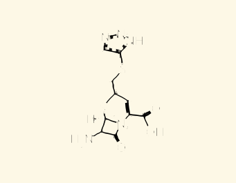 NC1C(=O)N2C(C(=O)O)=CC(CSc3cnn[nH]3)S[C@H]12